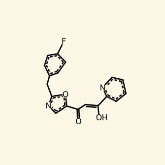 O=C(C=C(O)c1ccccn1)c1cnc(Cc2ccc(F)cc2)o1